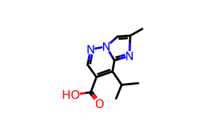 Cc1cn2ncc(C(=O)O)c(C(C)C)c2n1